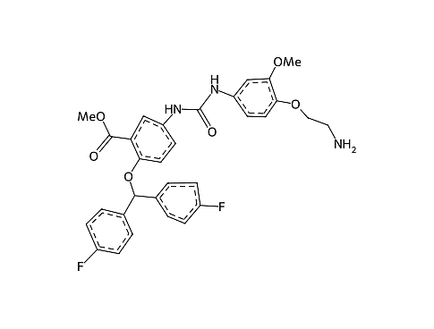 COC(=O)c1cc(NC(=O)Nc2ccc(OCCN)c(OC)c2)ccc1OC(c1ccc(F)cc1)c1ccc(F)cc1